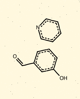 O=Cc1cccc(O)c1.c1ccncc1